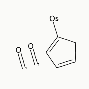 [C]=O.[C]=O.[Os][C]1=CC=CC1